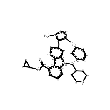 Cc1nnn(C)c1-c1cnc2c3c(C(=O)NC4CC4)cccc3n([C@H](c3ccccc3)C3CCOCC3)c2c1